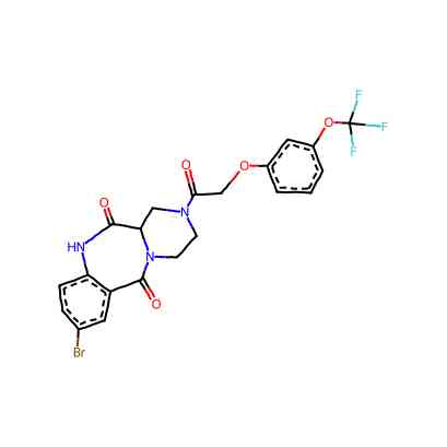 O=C1Nc2ccc(Br)cc2C(=O)N2CCN(C(=O)COc3cccc(OC(F)(F)F)c3)CC12